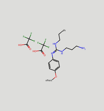 CCCCCOc1ccc(/N=C(\NCCCN)NCCC(C)C)cc1.O=C(O)C(F)(F)F.O=C(O)C(F)(F)F